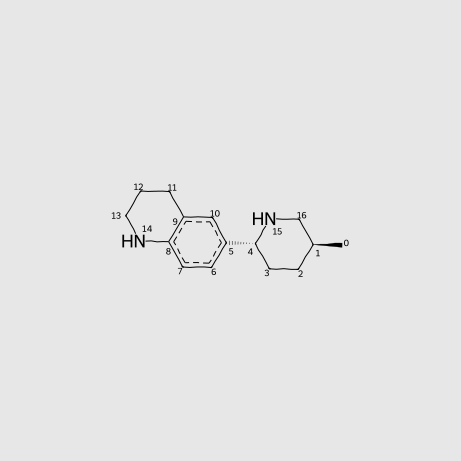 C[C@H]1CC[C@H](c2ccc3c(c2)CCCN3)NC1